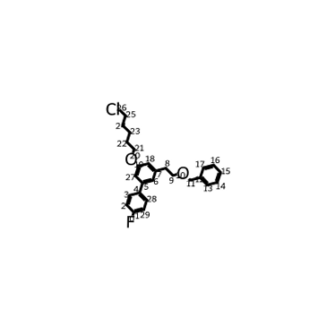 Fc1ccc(-c2cc(CCOCc3ccccc3)cc(OCCCCCCl)c2)cc1